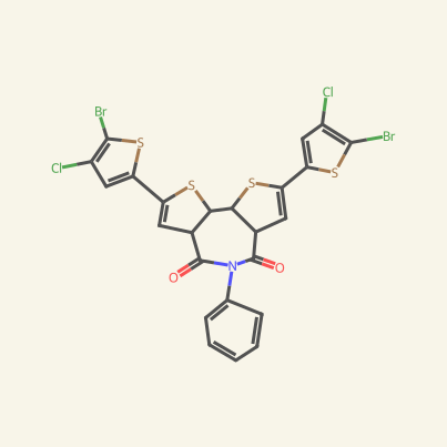 O=C1C2C=C(c3cc(Cl)c(Br)s3)SC2C2SC(c3cc(Cl)c(Br)s3)=CC2C(=O)N1c1ccccc1